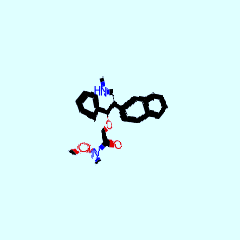 CNC[C@H](c1ccc2ccccc2c1)[C@H](OCC(=O)N(C)OC)c1ccccc1